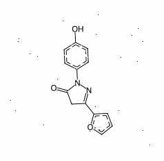 O=C1CC(c2ccco2)=NN1c1ccc(O)cc1